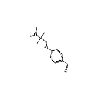 CN(C)C(C)(C)COc1ccc(C=O)cc1